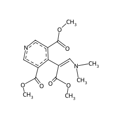 COC(=O)/C(=C\N(C)C)c1c(C(=O)OC)cncc1C(=O)OC